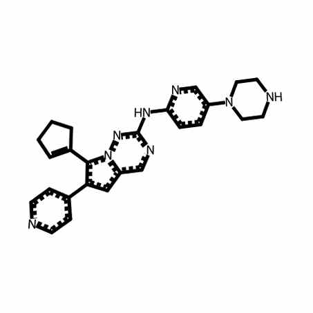 C1=C(c2c(-c3ccncc3)cc3cnc(Nc4ccc(N5CCNCC5)cn4)nn23)CCC1